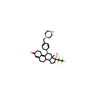 CC12C[C@H](C3C=CC(CN4CCNCC4)=CC3)C3=C4CCC(=O)C=C4CCC3C1CC[C@@]2(O)C(F)(F)C(F)(F)F